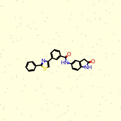 O=C1Cc2cc(NC(=O)c3cccc(-c4csc(-c5ccccc5)n4)c3)ccc2N1